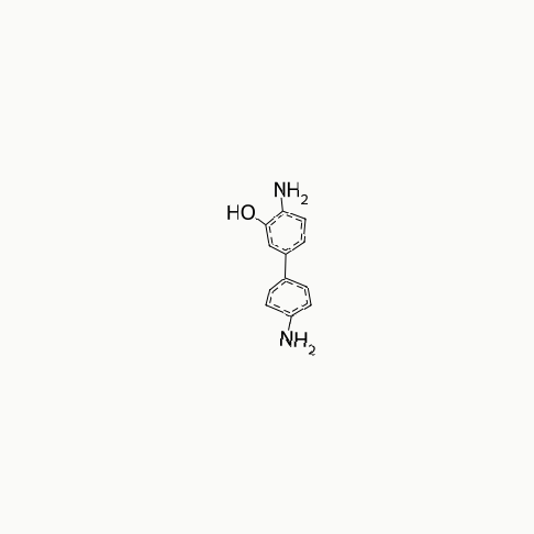 Nc1ccc(-c2ccc(N)c(O)c2)cc1